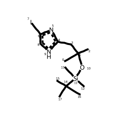 CC(C)(Cc1nc(I)c[nH]1)O[Si](C)(C)C(C)(C)C